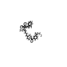 Nc1cccc(C(=O)N2CCC(CCCCNc3c(Nc4ccncc4)c(=O)c3=O)CC2)c1